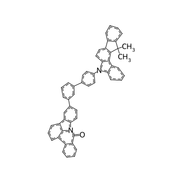 CC1(C)c2ccccc2-c2ccc3c(c21)c1ccccc1n3-c1ccc(-c2cccc(-c3ccc4c(c3)c3cccc5c6ccccc6c(=O)n4c53)c2)cc1